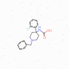 O=C(O)NC1(c2ccccc2F)CCN(Cc2ccccc2)CC1